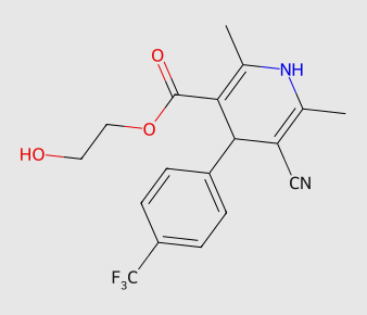 CC1=C(C#N)C(c2ccc(C(F)(F)F)cc2)C(C(=O)OCCO)=C(C)N1